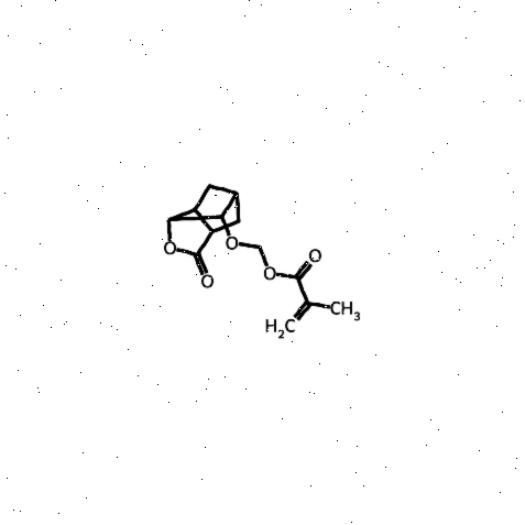 C=C(C)C(=O)OCOC1C2CC3C(=O)OC1C3C2